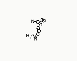 Cn1cncc1COc1ccc2cc(-c3nn(C4CCCCO4)c4ccc(C#N)cc34)ccc2c1